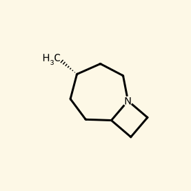 C[C@H]1CCC2CCN2CC1